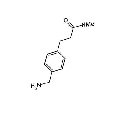 CNC(=O)CCc1ccc(CN)cc1